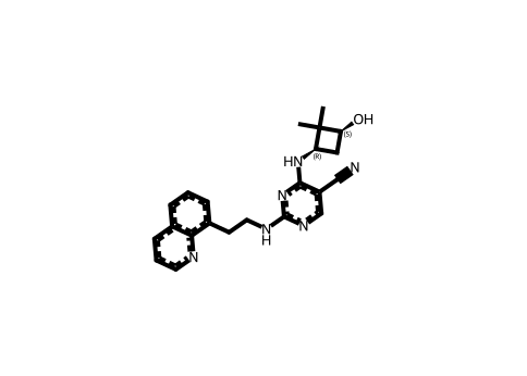 CC1(C)[C@@H](O)C[C@H]1Nc1nc(NCCc2cccc3cccnc23)ncc1C#N